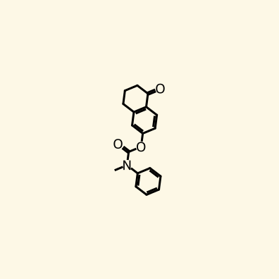 CN(C(=O)Oc1ccc2c(c1)CCCC2=O)c1ccccc1